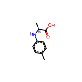 Cc1ccc(N[C@@H](C)C(=O)O)cc1